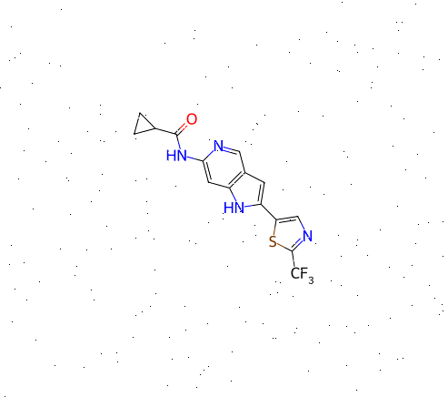 O=C(Nc1cc2[nH]c(-c3cnc(C(F)(F)F)s3)cc2cn1)C1CC1